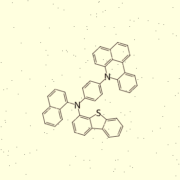 c1ccc2c(c1)-c1cccc3cccc(c13)N2c1ccc(N(c2cccc3ccccc23)c2cccc3c2sc2ccccc23)cc1